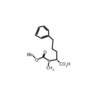 CN(C(=O)OC(C)(C)C)[C@@H](CCCc1ccccc1)C(=O)O